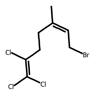 CC(=CCBr)CCC(Cl)=C(Cl)Cl